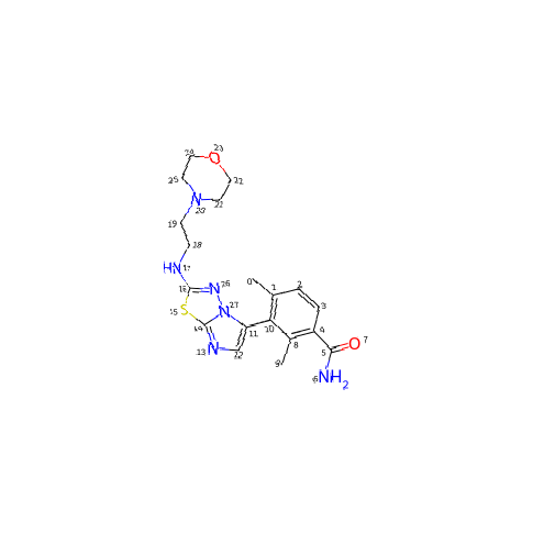 Cc1ccc(C(N)=O)c(C)c1-c1cnc2sc(NCCN3CCOCC3)nn12